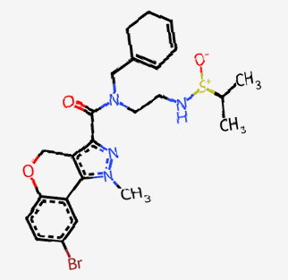 CC(C)[S+]([O-])NCCN(CC1=CC=CCC1)C(=O)c1nn(C)c2c1COc1ccc(Br)cc1-2